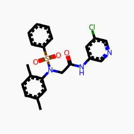 Cc1ccc(C)c(N(CC(=O)Nc2cncc(Cl)c2)S(=O)(=O)c2ccccc2)c1